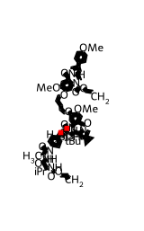 C=CCOC(=O)N[C@H](C(=O)N[C@@H](C)C(=O)Nc1ccc(COC(=O)N2c3cc(OCCCCCOc4cc5c(cc4OC)C(=O)N4C=C(c6ccc(OC)cc6)C[C@H]4CN5C(=O)OCC=C)c(OC)cc3C(=O)N3CC4(CC4)C[C@H]3C2O[Si](C)(C)C(C)(C)C)cc1)C(C)C